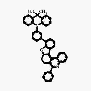 CC1(C)c2ccccc2N(c2cccc(-c3cccc4c3OC3CC=c5c(-c6ccccc6)nc6ccccc6c5=C43)c2)c2ccccc21